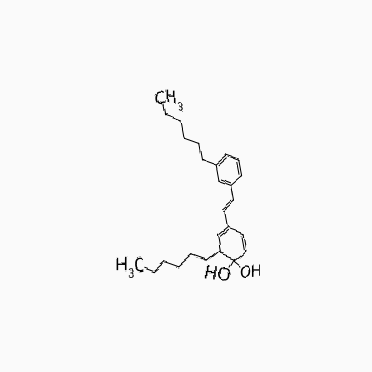 CCCCCCc1cccc(C=CC2=CC(CCCCCC)C(O)(O)C=C2)c1